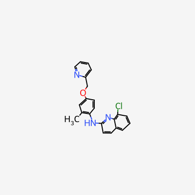 Cc1cc(OCc2ccccn2)ccc1Nc1ccc2cccc(Cl)c2n1